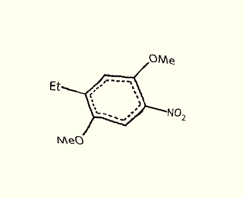 CCc1cc(OC)c([N+](=O)[O-])cc1OC